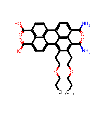 CCCOCCc1c(C(N)=O)c2c(C(N)=O)ccc3c4ccc(C(=O)O)c5c(C(=O)O)ccc(c(c1CCOCCC)c23)c54